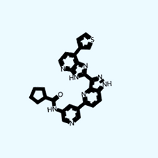 O=C(Nc1cncc(-c2ccc3[nH]nc(-c4nc5c(-c6ccsc6)ccnc5[nH]4)c3n2)c1)C1CCCC1